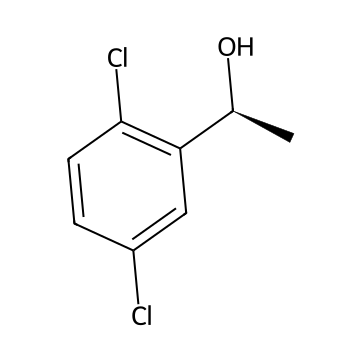 C[C@H](O)c1cc(Cl)ccc1Cl